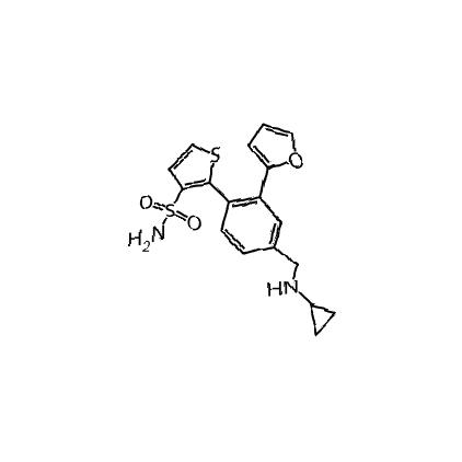 NS(=O)(=O)c1ccsc1-c1ccc(CNC2CC2)cc1-c1ccco1